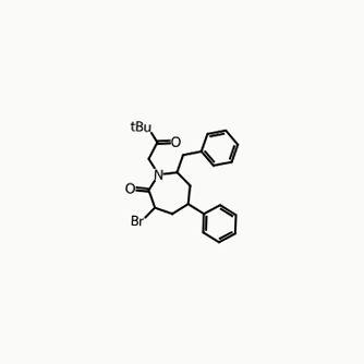 CC(C)(C)C(=O)CN1C(=O)C(Br)CC(c2ccccc2)CC1Cc1ccccc1